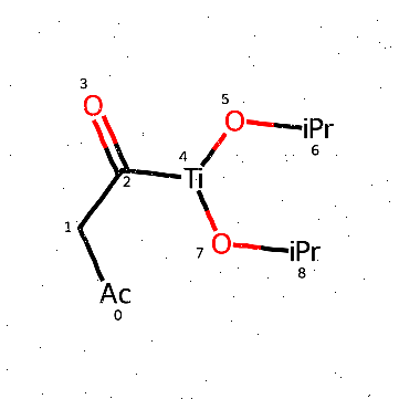 CC(=O)C[C](=O)[Ti]([O]C(C)C)[O]C(C)C